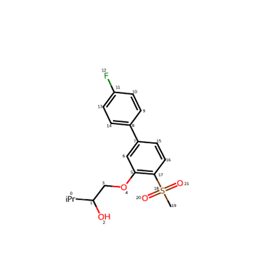 CC(C)C(O)COc1cc(-c2ccc(F)cc2)ccc1S(C)(=O)=O